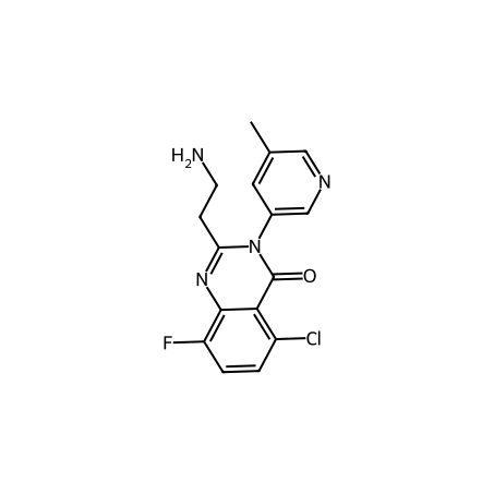 Cc1cncc(-n2c(CCN)nc3c(F)ccc(Cl)c3c2=O)c1